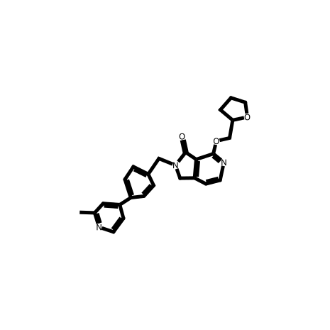 Cc1cc(-c2ccc(CN3Cc4ccnc(OCC5CCCO5)c4C3=O)cc2)ccn1